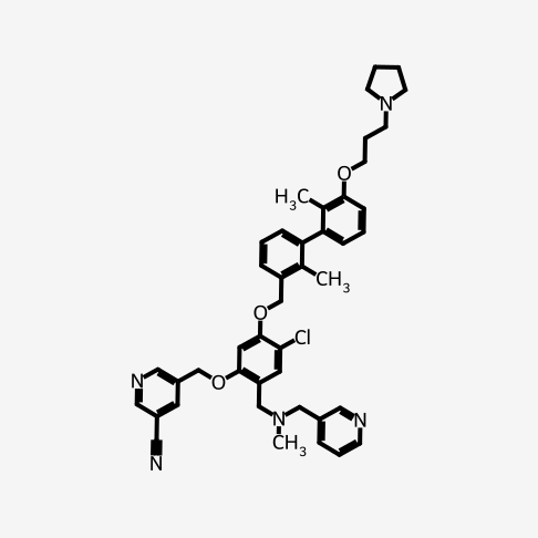 Cc1c(COc2cc(OCc3cncc(C#N)c3)c(CN(C)Cc3cccnc3)cc2Cl)cccc1-c1cccc(OCCCN2CCCC2)c1C